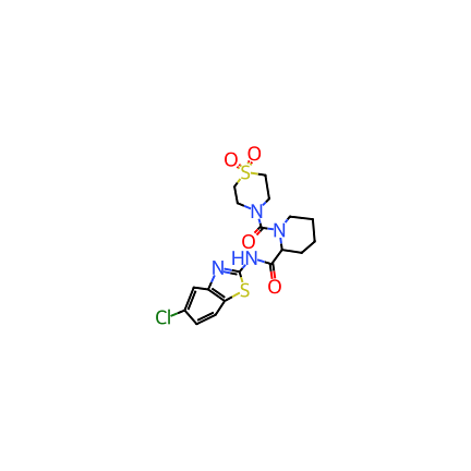 O=C(Nc1nc2cc(Cl)ccc2s1)C1CCCCN1C(=O)N1CCS(=O)(=O)CC1